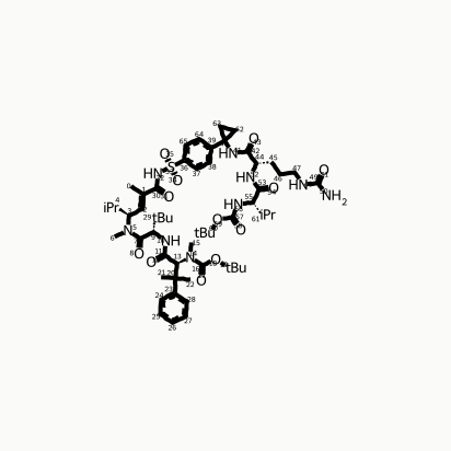 C/C(=C\[C@H](C(C)C)N(C)C(=O)[C@@H](NC(=O)[C@@H](N(C)C(=O)OC(C)(C)C)C(C)(C)c1ccccc1)C(C)(C)C)C(=O)NS(=O)(=O)c1ccc(C2(NC(=O)[C@H](CCCNC(N)=O)NC(=O)[C@@H](NC(=O)OC(C)(C)C)C(C)C)CC2)cc1